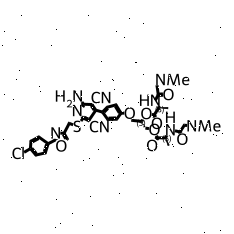 CNCC(=O)N[C@@H](C)C(=O)OC[C@H](COc1ccc(-c2c(C#N)c(N)nc(SCc3coc(-c4ccc(Cl)cc4)n3)c2C#N)cc1)OC(=O)[C@H](C)NC(=O)CNC